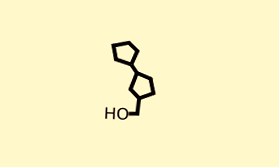 OCC1CCC(C2CCCC2)C1